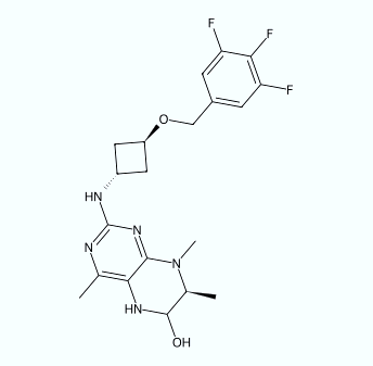 Cc1nc(N[C@H]2C[C@H](OCc3cc(F)c(F)c(F)c3)C2)nc2c1NC(O)[C@H](C)N2C